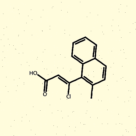 Cc1ccc2ccccc2c1C(Cl)=CC(=O)O